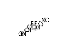 O=C=Nc1ccc(Oc2c(F)c(F)c(Oc3ccc(N=C=O)cc3)c(F)c2F)cc1